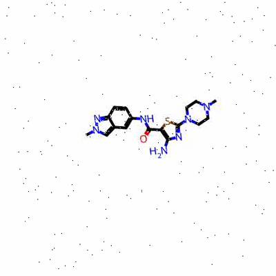 CN1CCN(c2nc(N)c(C(=O)Nc3ccc4nn(C)cc4c3)s2)CC1